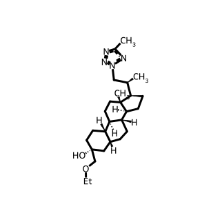 CCOC[C@@]1(O)CC[C@H]2[C@H](CC[C@@H]3[C@@H]2CC[C@]2(C)[C@@H]([C@H](C)Cn4nnc(C)n4)CC[C@@H]32)C1